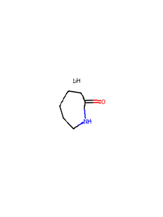 O=C1CCCCCN1.[LiH]